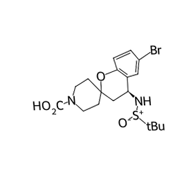 CC(C)(C)[S+]([O-])N[C@H]1CC2(CCN(C(=O)O)CC2)Oc2ccc(Br)cc21